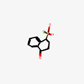 O=C1CCC(S(=O)(=O)Cl)c2ccccc21